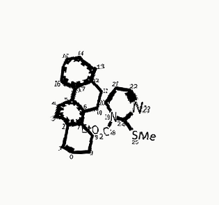 C1=Cc2ccc3c(c2CC1)CCc1ccccc1-3.CCOC(=O)N1C=CC=NC1SC